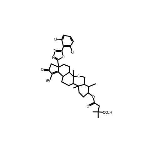 CC(C)C1=C2C3CCC4C(C)(CCC5C(C)C(OC(=O)CC(C)(C)C(=O)O)CCC54C)C3CCC2(c2nnc(-c3c(Cl)cccc3Cl)o2)CC1=O